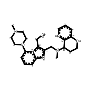 CN1CCN(c2cccc3nc(CN(C)C4CCOc5cccnc54)c(CO)n23)CC1